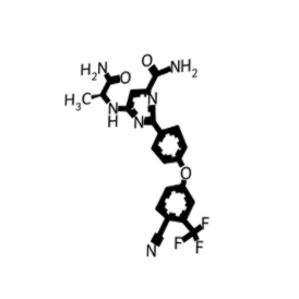 C[C@H](Nc1cc(C(N)=O)nc(-c2ccc(Oc3ccc(C#N)c(C(F)(F)F)c3)cc2)n1)C(N)=O